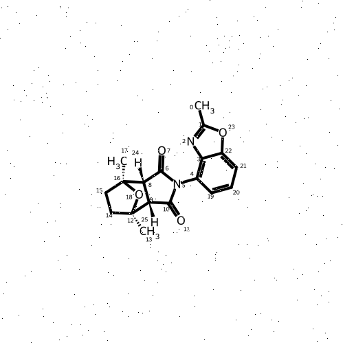 Cc1nc2c(N3C(=O)[C@@H]4[C@H](C3=O)[C@@]3(C)CC[C@]4(C)O3)cccc2o1